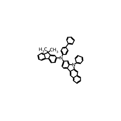 CC1(C)c2ccccc2-c2ccc(N(c3ccc(-c4ccccc4)cc3)c3ccc4c5cc6ccccc6cc5n(-c5ccccc5)c4c3)cc21